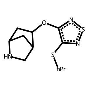 CCCSc1nsnc1OC1CC2CC1CN2